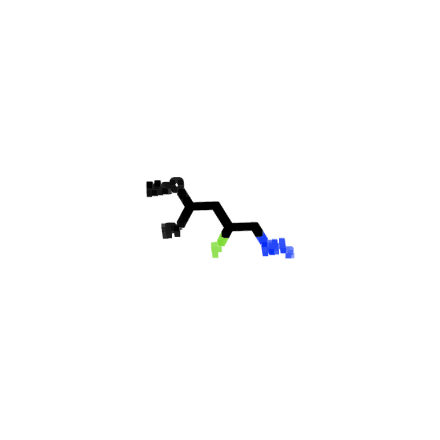 COC(CC(F)CN)C(C)C